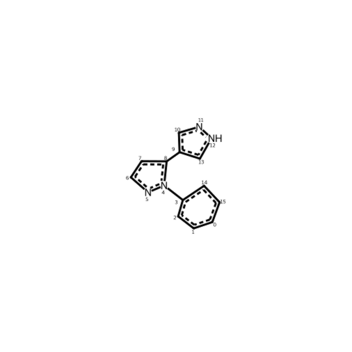 c1ccc(-n2nccc2-c2cn[nH]c2)cc1